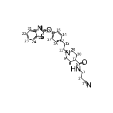 N#CCCNC(=O)C1CCN(CCc2ccc(Oc3nc4ccccc4s3)cc2)CC1